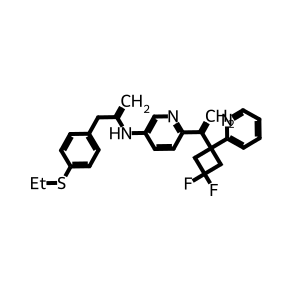 C=C(Cc1ccc(SCC)cc1)Nc1ccc(C(=C)C2(c3ccccn3)CC(F)(F)C2)nc1